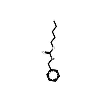 CCCCCOC(=O)N[CH]c1ccccc1